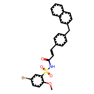 COc1ccc(Br)cc1S(=O)(=O)NC(=O)/C=C/c1ccc(Cc2ccc3ccccc3c2)cc1